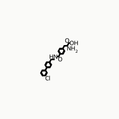 NC(Cc1ccc(C(=O)NCCc2ccc(-c3cccc(Cl)c3)cc2)cc1)C(=O)O